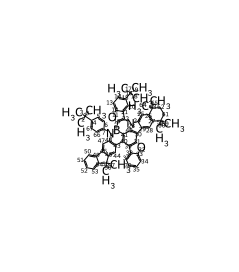 CC(C)(C)c1ccc(N2B3c4oc5ccc(C(C)(C)C)cc5c4-n4c5cc6c(cc5c5c7oc8ccccc8c7c(c3c54)-c3cc4c(cc32)-c2ccccc2C4(C)C)C(C)(C)CCC6(C)C)cc1